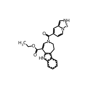 CCOC(=O)C1=CN(C(=O)C2=CC3=CNSN3C=C2)CCc2c1[nH]c1ccccc21